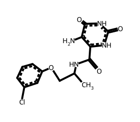 CC(COc1cccc(Cl)c1)NC(=O)c1[nH]c(=O)[nH]c(=O)c1N